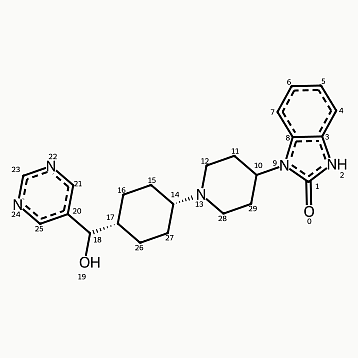 O=c1[nH]c2ccccc2n1C1CCN([C@H]2CC[C@@H](C(O)c3cncnc3)CC2)CC1